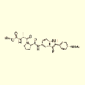 CC(=O)Nc1ccc(-c2[nH]c3ccc(NC(=O)C4CCCN4C(=O)[C@@H](C)NC(=O)OC(C)(C)C)cc3c2F)cc1